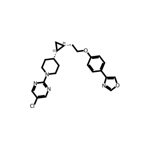 Clc1cnc(N2CCC([C@@H]3C[C@@H]3CCOc3ccc(-c4cocn4)cc3)CC2)nc1